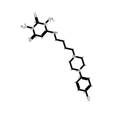 Cn1c(NCCCCN2CCN(c3ccc(Cl)cc3)CC2)cc(=O)n(C)c1=O